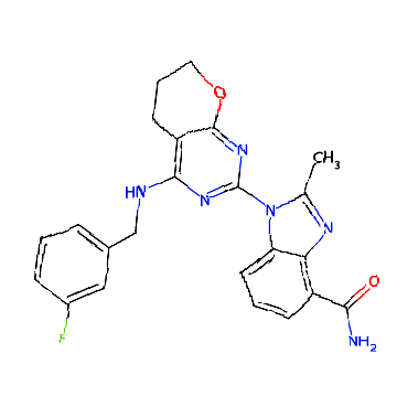 Cc1nc2c(C(N)=O)cccc2n1-c1nc(NCc2cccc(F)c2)c2c(n1)OCCC2